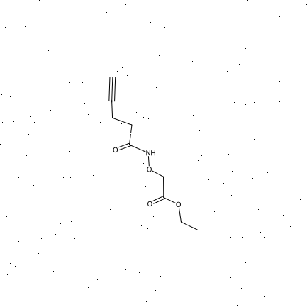 C#CCCC(=O)NOCC(=O)OCC